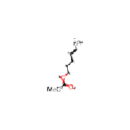 CCC/C=C/CCCOC(=O)OC